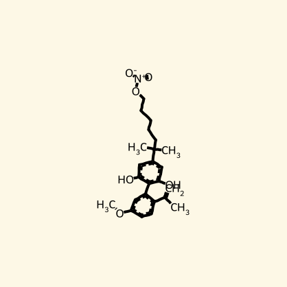 C=C(C)c1ccc(OC)cc1-c1c(O)cc(C(C)(C)CCCCCO[N+](=O)[O-])cc1O